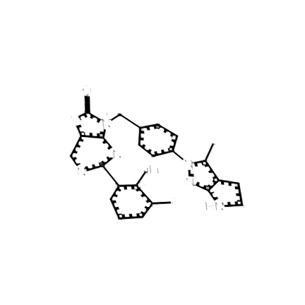 Cc1c2cc[nH]c2nn1-c1ccc(Cn2c(=O)sc3cnc(-c4cccc(F)c4C(C)C)nc32)cc1